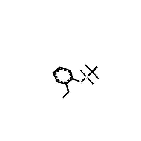 CCc1ccccc1O[Si](C)(C)C(C)(C)C